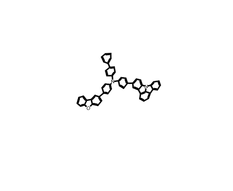 c1ccc(-c2ccc(N(c3ccc(-c4ccc5oc6ccccc6c5c4)cc3)c3ccc(-c4ccc5c(c4)c4cccc6c7ccccc7n5c64)cc3)cc2)cc1